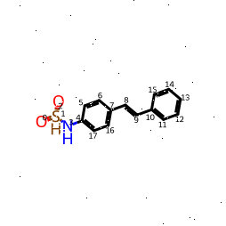 O=[SH](=O)Nc1ccc(C=Cc2ccccc2)cc1